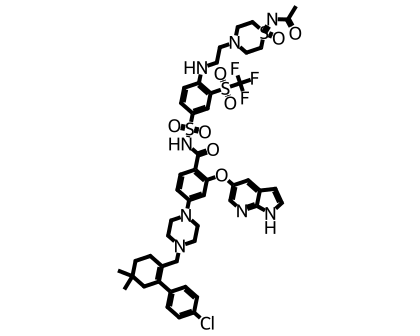 CC(=O)N=S1(=O)CCN(CCNc2ccc(S(=O)(=O)NC(=O)c3ccc(N4CCN(CC5=C(c6ccc(Cl)cc6)CC(C)(C)CC5)CC4)cc3Oc3cnc4[nH]ccc4c3)cc2S(=O)(=O)C(F)(F)F)CC1